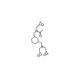 CC(=O)N(CC1CCCC(CN(CC2CO2)CC2CO2)C1)CC1CO1